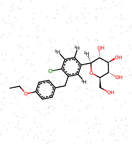 [2H]c1c([2H])c([C@]2([2H])O[C@H](CO)[C@@H](O)[C@H](O)[C@H]2O)c([2H])c(Cc2ccc(OCC)cc2)c1Cl